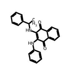 CC(NC1=C(Nc2ccccc2)C(=O)c2ccccc2C1=O)c1ccccc1